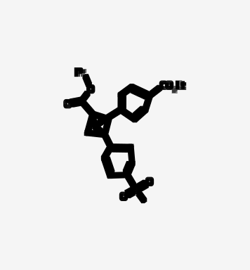 CCOC(=O)c1ccc(C2C3(C(=O)OC(C)C)CC2(c2ccc(S(C)(=O)=O)cc2)C3)cc1